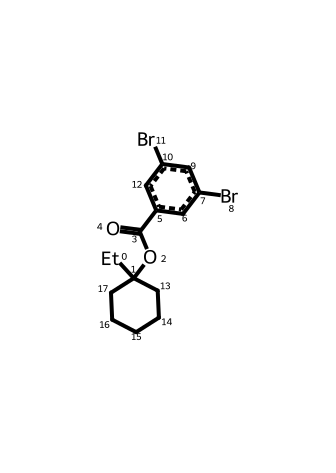 CCC1(OC(=O)c2cc(Br)cc(Br)c2)CCCCC1